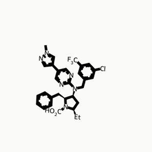 CC[C@@H]1C[C@H](N(Cc2cc(Cl)cc(C(F)(F)F)c2)c2ncc(-c3cnn(C)c3)cn2)[C@H](Cc2ccccc2)N1C(=O)O